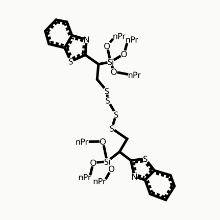 CCCO[Si](OCCC)(OCCC)C(CSSSSCC(c1nc2ccccc2s1)[Si](OCCC)(OCCC)OCCC)c1nc2ccccc2s1